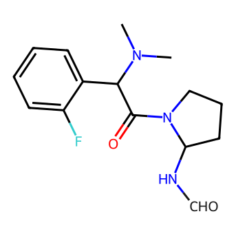 CN(C)C(C(=O)N1CCCC1NC=O)c1ccccc1F